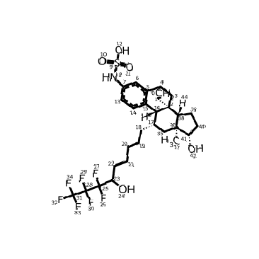 C=C[C@@]12CCc3cc(NS(=O)(=O)O)ccc3[C@H]1[C@@H](CCCCCC(O)C(F)(F)C(F)(F)C(F)(F)F)C[C@@]1(C)[C@H]2CC[C@@H]1O